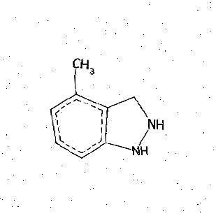 Cc1cccc2c1CNN2